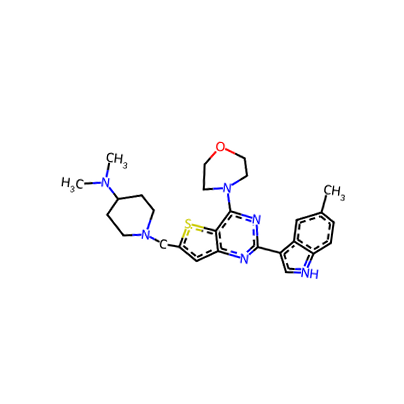 Cc1ccc2[nH]cc(-c3nc(N4CCOCC4)c4sc(CN5CCC(N(C)C)CC5)cc4n3)c2c1